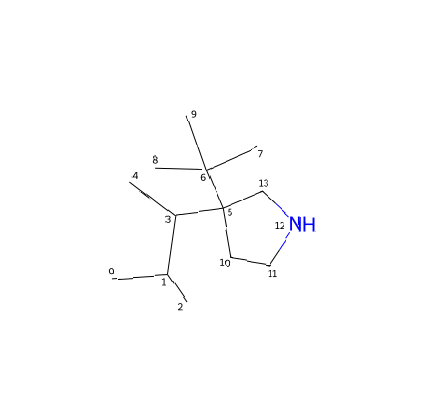 CC(C)C(C)C1(C(C)(C)C)CCNC1